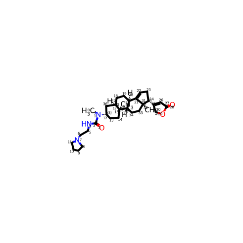 CN(C(=O)NCCN1CCCC1)[C@H]1CC[C@@]2(C)[C@H](CC[C@H]3C4=CC[C@H](C5=CC(=O)OC5)[C@@]4(C)CC[C@@H]32)C1